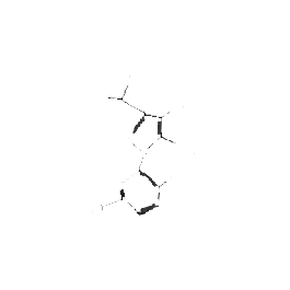 CC(=O)c1ccc(Cl)nc1-n1nc(C(F)F)c(C)c1C